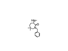 CNC1CCC(C)(C)CN(Cc2ccccc2)C1=O